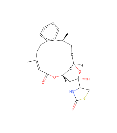 CC1=CC(=O)O[C@@H]2C[C@@H](CC[C@H](C)c3ccccc3CC1)O[C@@](O)(C1CSC(=O)N1)C2